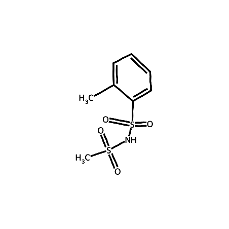 Cc1ccccc1S(=O)(=O)NS(C)(=O)=O